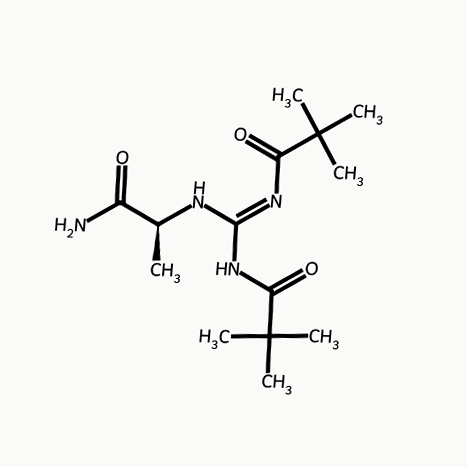 C[C@H](N/C(=N\C(=O)C(C)(C)C)NC(=O)C(C)(C)C)C(N)=O